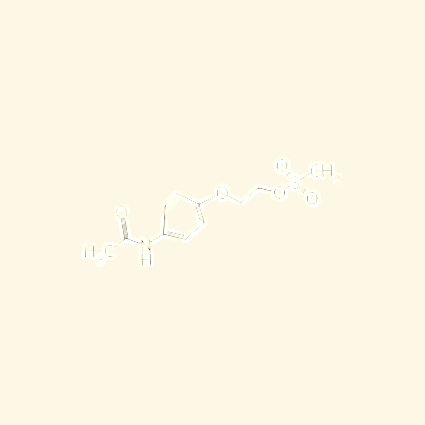 CC(=O)Nc1ccc(OCCOS(C)(=O)=O)cc1